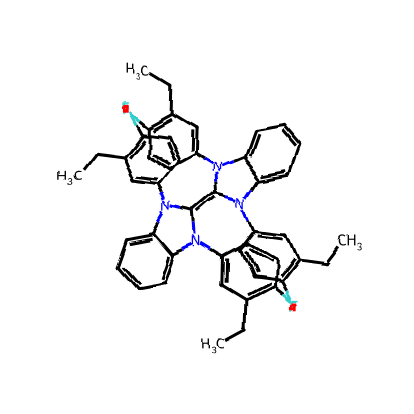 CCc1cc(N2C(=C3N(c4ccc(F)c(CC)c4)c4ccccc4N3c3ccc(F)c(CC)c3)N(c3ccc(F)c(CC)c3)c3ccccc32)ccc1F